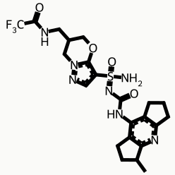 CC1CCc2c1nc1c(c2NC(=O)N=S(N)(=O)c2cnn3c2OCC(CNC(=O)C(F)(F)F)C3)CCC1